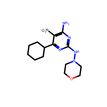 Nc1nc(NN2CCOCC2)nc(C2CCCCC2)c1[N+](=O)[O-]